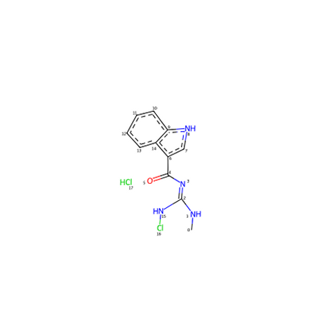 CNC(=NC(=O)c1c[nH]c2ccccc12)NCl.Cl